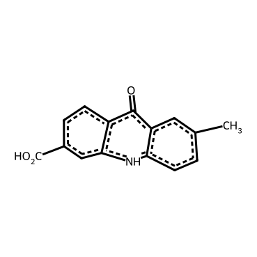 Cc1ccc2[nH]c3cc(C(=O)O)ccc3c(=O)c2c1